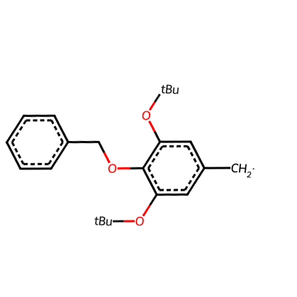 [CH2]c1cc(OC(C)(C)C)c(OCc2ccccc2)c(OC(C)(C)C)c1